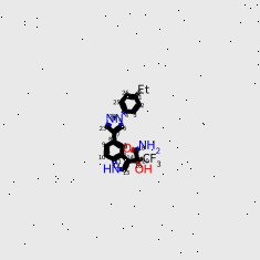 CCc1ccc(-n2cc(-c3ccc4[nH]cc(C(O)(C(N)=O)C(F)(F)F)c4c3)cn2)cc1